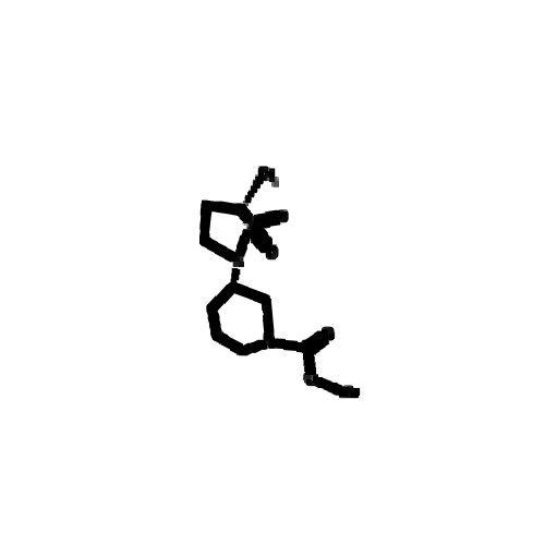 C[C@H]1CCN([C@H]2CCCN(C(=O)OC(C)(C)C)C2)S1(=O)=O